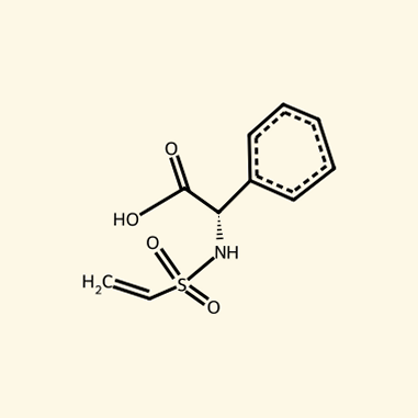 C=CS(=O)(=O)N[C@H](C(=O)O)c1ccccc1